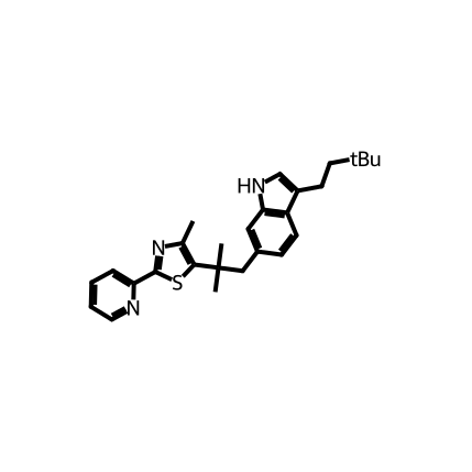 Cc1nc(-c2ccccn2)sc1C(C)(C)Cc1ccc2c(CCC(C)(C)C)c[nH]c2c1